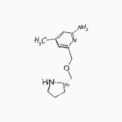 Cc1cc(N)nc(COC[C@@H]2CCCN2)c1